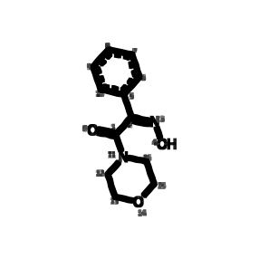 O=C(C(=NO)c1ccccc1)N1CCOCC1